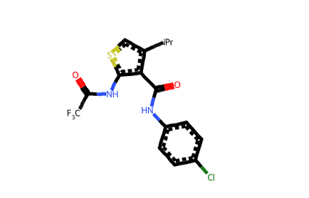 CC(C)c1csc(NC(=O)C(F)(F)F)c1C(=O)Nc1ccc(Cl)cc1